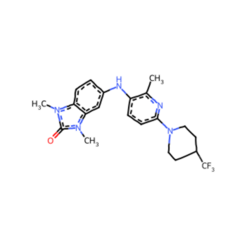 Cc1nc(N2CCC(C(F)(F)F)CC2)ccc1Nc1ccc2c(c1)n(C)c(=O)n2C